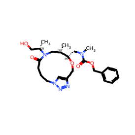 C[C@H]1CN([C@@H](C)CO)C(=O)CCCn2cc(nn2)CO[C@H]1CN(C)C(=O)OCc1ccccc1